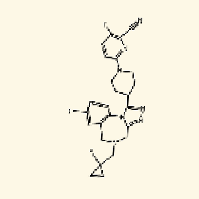 N#Cc1nc(N2CCC(c3nnc4n3-c3ccc(Cl)cc3CN(CC3(F)CC3)C4)CC2)ccc1F